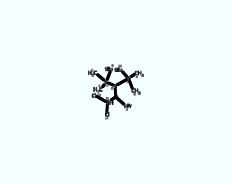 CCCC(N([Si](C)(C)C(C)(C)C)[Si](C)(C)C(C)(C)C)[SiH](Cl)Cl